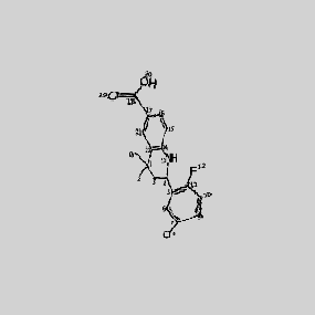 CC1(C)CC(c2cc(Cl)ccc2F)Nc2ccc(C(=O)O)cc21